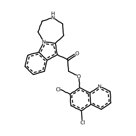 O=C(COc1c(Cl)cc(Cl)c2cccnc12)c1c2n(c3ccccc13)CCNCC2